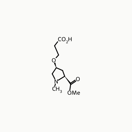 COC(=O)[C@@H]1C[C@H](OCCC(=O)O)CN1C